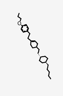 CCCCC[C@H]1CC[C@H](CCC2CC=C(CCc3ccc(OCCC)cc3)CC2)CC1